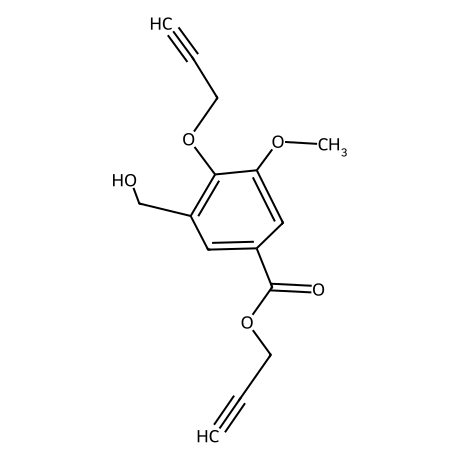 C#CCOC(=O)c1cc(CO)c(OCC#C)c(OC)c1